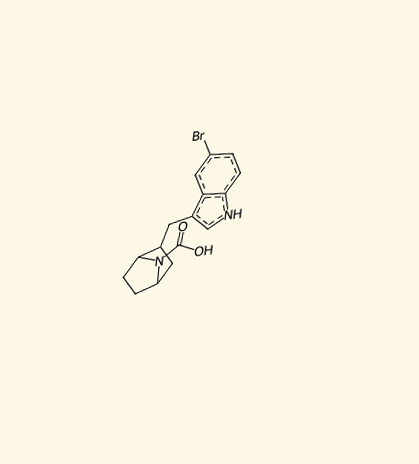 O=C(O)N1C2CCC1C(Cc1c[nH]c3ccc(Br)cc13)C2